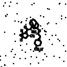 N#C[C@@H]1C[C@@H]2C[C@@H]2N1C(=O)[C@@H](N)C12CC3CC(CC(OCCN4CCC(C(=O)O)CC4)(C3)C1)C2